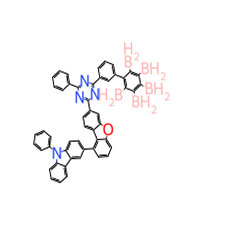 Bc1c(B)c(B)c(-c2cccc(-c3nc(-c4ccccc4)nc(-c4ccc5c(c4)oc4cccc(-c6ccc7c(c6)c6ccccc6n7-c6ccccc6)c45)n3)c2)c(B)c1B